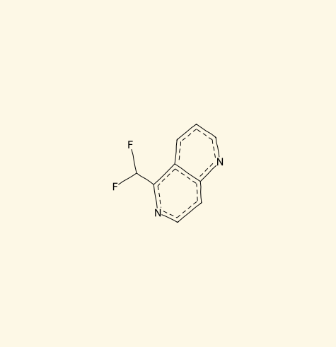 FC(F)c1nccc2ncccc12